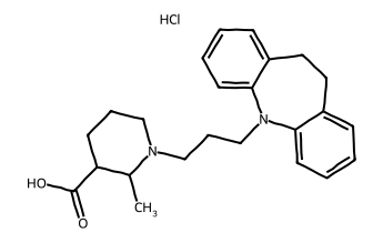 CC1C(C(=O)O)CCCN1CCCN1c2ccccc2CCc2ccccc21.Cl